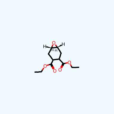 CCOC(=O)C1C[C@@H]2O[C@@H]2CC1C(=O)OCC